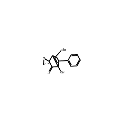 CC(C)(C)C1=CC2(O)C(=O)[C@]3(CO3)C1CC2c1ccccc1